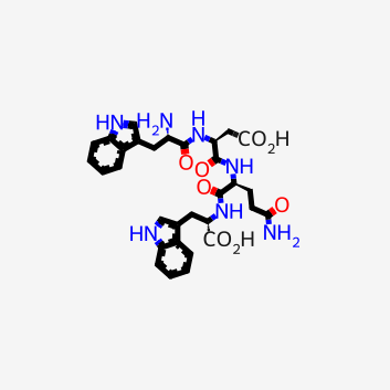 NC(=O)CC[C@H](NC(=O)[C@H](CC(=O)O)NC(=O)[C@@H](N)Cc1c[nH]c2ccccc12)C(=O)N[C@@H](Cc1c[nH]c2ccccc12)C(=O)O